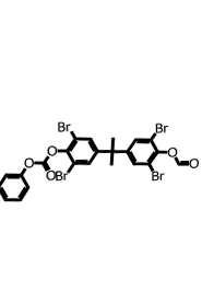 CC(C)(c1cc(Br)c(OC=O)c(Br)c1)c1cc(Br)c(OC(=O)Oc2ccccc2)c(Br)c1